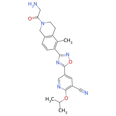 Cc1c(-c2noc(-c3cnc(OC(C)C)c(C#N)c3)n2)ccc2c1CCN(C(=O)CN)C2